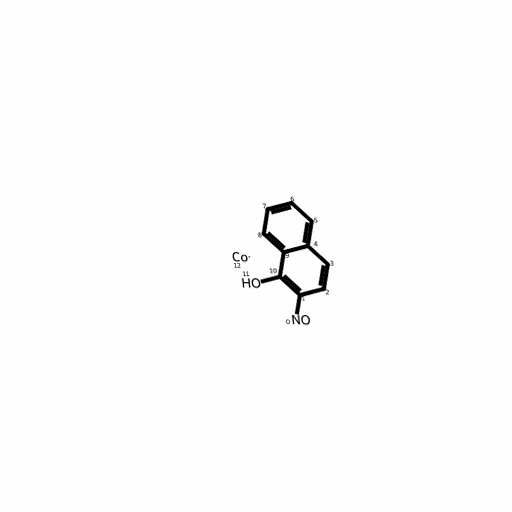 O=Nc1ccc2ccccc2c1O.[Co]